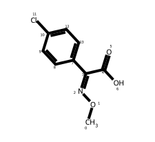 CO/N=C(\C(=O)O)c1ccc(Cl)cc1